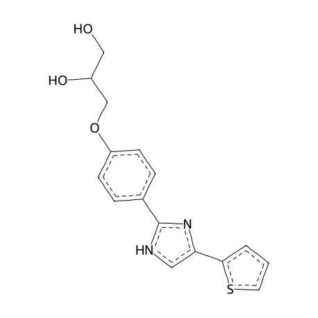 OCC(O)COc1ccc(-c2nc(-c3cccs3)c[nH]2)cc1